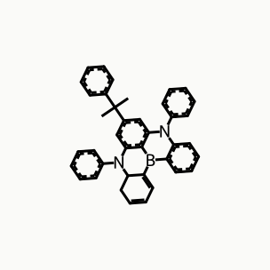 CC(C)(c1ccccc1)c1cc2c3c(c1)N(c1ccccc1)C1CC=CC=C1B3c1ccccc1N2c1ccccc1